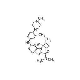 Cc1cc(Nc2ncc3cc(C(=O)N(C)C)n(C4(C(C)C)CC[C@H]4C)c3n2)ccc1N1CCN(C)CC1